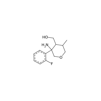 CC1COCC(N)(c2ccccc2F)C1CO